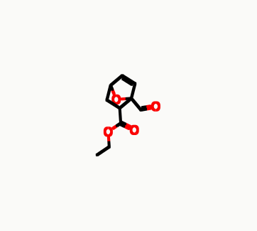 CCOC(=O)C1CC2C=CC1(C=O)O2